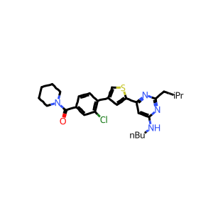 CCCCNc1cc(-c2cc(-c3ccc(C(=O)N4CCCCC4)cc3Cl)cs2)nc(CC(C)C)n1